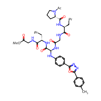 COC(=O)CNC(=O)[C@H](CC(C)C)NC(=O)[C@@H](NC(=O)CNC(=O)[C@H](CC(C)C)NC(=O)[C@@H]1CCCN1C(C)=O)Nc1ccc(-c2nnc(-c3ccc(C)cc3)o2)cc1